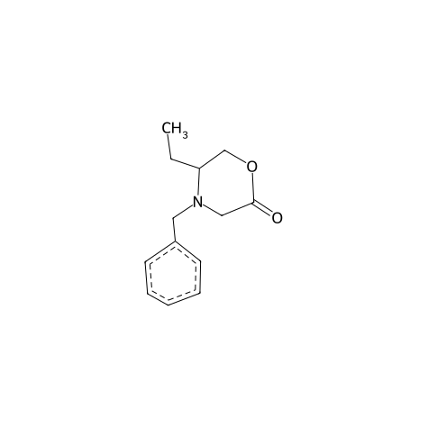 CCC1COC(=O)CN1Cc1ccccc1